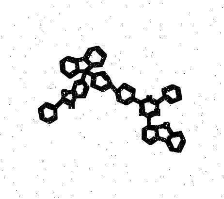 c1ccc(-c2nc(-c3ccc(-c4ccc(C5(c6ccc7nc(-c8ccccc8)oc7c6)c6ccccc6-c6ccccc65)cc4)cc3)nc(-c3cccc4c3oc3ccccc34)n2)cc1